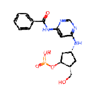 O=C(Nc1cc(N[C@@H]2C[C@H](CO)[C@@H](O[PH](=O)O)C2)ncn1)c1ccccc1